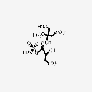 NS(=O)(=O)OC(=O)C(O)CC(=O)O.O=C(O)CC(O)(CC(=O)O)C(=O)O